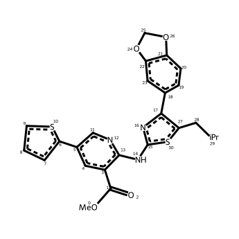 COC(=O)c1cc(-c2cccs2)cnc1Nc1nc(-c2ccc3c(c2)OCO3)c(CC(C)C)s1